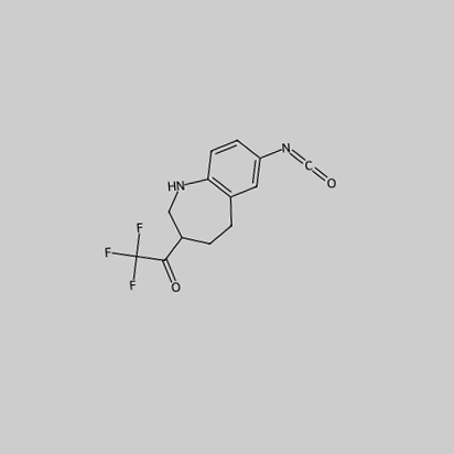 O=C=Nc1ccc2c(c1)CCC(C(=O)C(F)(F)F)CN2